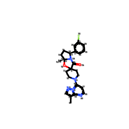 Cc1cnn2c(N3CCC4(CC3)O[C@H]3CC[C@@H](c5cccc(F)c5)N3C4=O)ccnc12